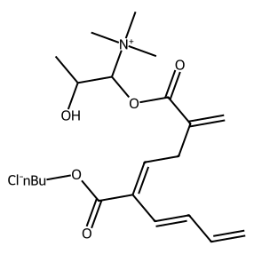 C=CC=CC(=CCC(=C)C(=O)OC(C(C)O)[N+](C)(C)C)C(=O)OCCCC.[Cl-]